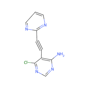 Nc1ncnc(Cl)c1C#Cc1ncccn1